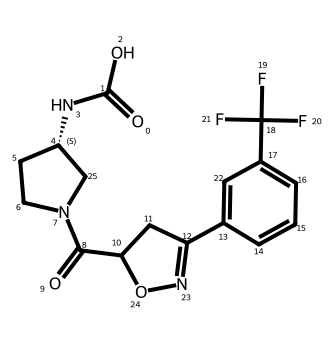 O=C(O)N[C@H]1CCN(C(=O)C2CC(c3cccc(C(F)(F)F)c3)=NO2)C1